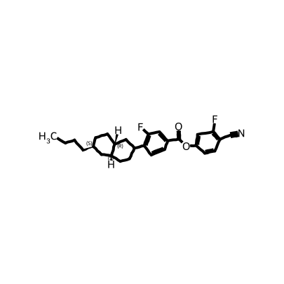 CCCC[C@H]1CC[C@@H]2CC(c3ccc(C(=O)Oc4ccc(C#N)c(F)c4)cc3F)CC[C@H]2C1